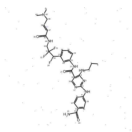 CCCNc1nc(Nc2ccc(C(N)=O)cc2)ncc1C(=O)Nc1cccc(C(F)C(F)(F)CNC(=O)/C=C/CN(C)C)c1